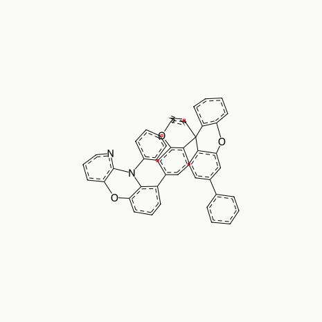 c1ccc(-c2ccc3c(c2)Oc2ccccc2C32c3ccccc3Oc3cc(-c4cccc5c4N(c4ccccc4)c4ncccc4O5)ccc32)cc1